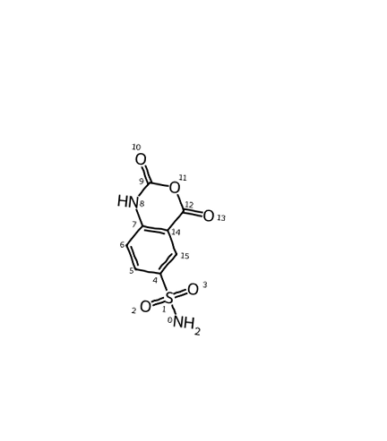 NS(=O)(=O)c1ccc2[nH]c(=O)oc(=O)c2c1